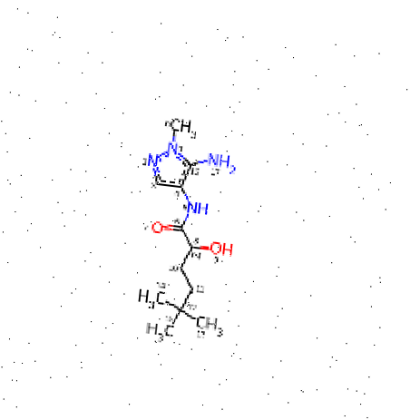 Cn1ncc(NC(=O)[C@@H](O)C[CH]C(C)(C)C)c1N